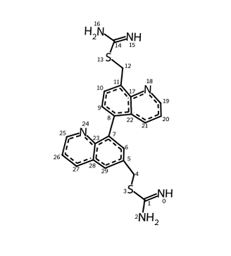 N=C(N)SCc1cc(-c2ccc(CSC(=N)N)c3ncccc23)c2ncccc2c1